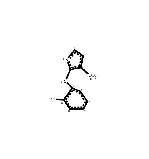 O=C(O)c1ccsc1Sc1ccccc1F